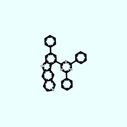 c1ccc(-c2cc(-c3nc(-c4ccccc4)nc(-c4ccccc4)n3)c3c(c2)oc2cc4ccncc4cc23)cc1